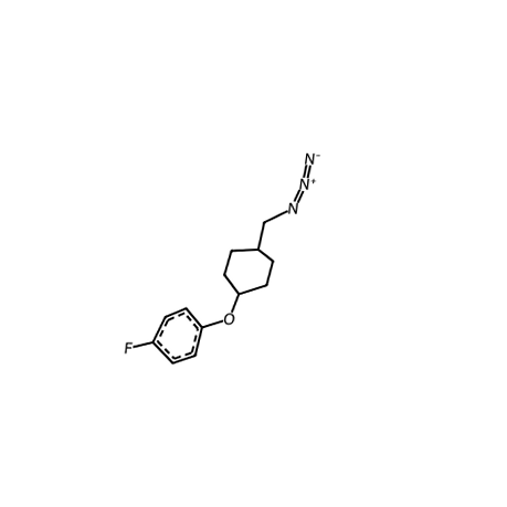 [N-]=[N+]=NCC1CCC(Oc2ccc(F)cc2)CC1